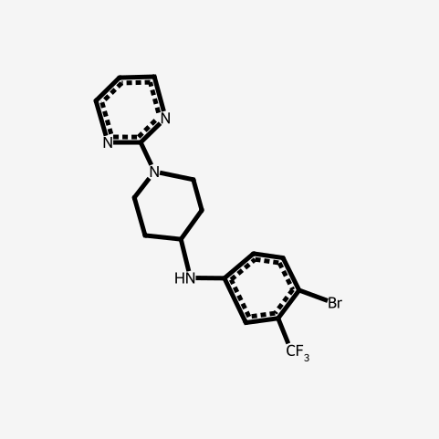 FC(F)(F)c1cc(NC2CCN(c3ncccn3)CC2)ccc1Br